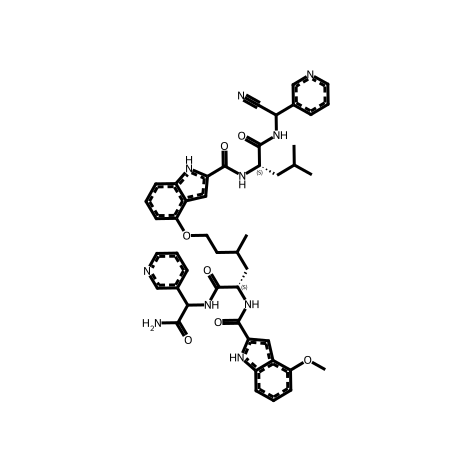 COc1cccc2[nH]c(C(=O)N[C@@H](CC(C)CCOc3cccc4[nH]c(C(=O)N[C@@H](CC(C)C)C(=O)NC(C#N)c5cccnc5)cc34)C(=O)NC(C(N)=O)c3cccnc3)cc12